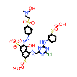 CN(CO)CCS(=O)(=O)c1ccc(N=Nc2c(S(=O)(=O)O)cc3cc(SOOO)cc(NCc4nc(Cl)nc(Nc5cccc(SOOO)c5)n4)c3c2O)cc1